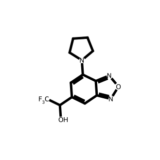 OC(c1cc(N2CCCC2)c2nonc2c1)C(F)(F)F